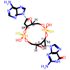 Nc1nc2c(ncn2[C@@H]2O[C@@H]3CO[PH](O)(S)O[C@H]4C[C@H](n5cnc6c(N)ncnc65)O[C@@H]4CO[PH](O)(S)O[C@@H]2[C@@H]3F)c(=O)[nH]1